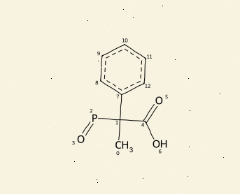 CC(P=O)(C(=O)O)c1ccccc1